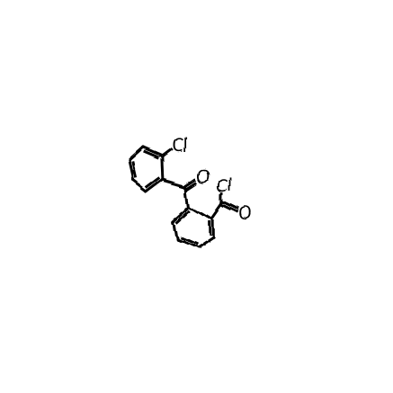 O=C(Cl)c1ccccc1C(=O)c1ccccc1Cl